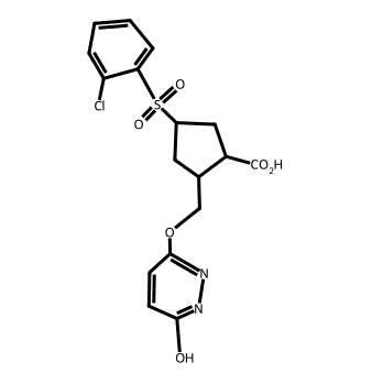 O=C(O)C1CC(S(=O)(=O)c2ccccc2Cl)CC1COc1ccc(O)nn1